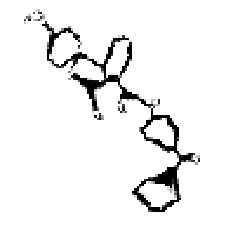 O=C(c1ccccc1)c1ccc(NC(=O)c2cncc3c2C(=O)O[C@]32CC[C@H](O)CC2)cc1